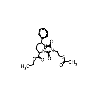 CCOC(=O)C1CCC(c2ccccc2)n2c(=O)n(CCSC(C)=O)c(=O)n21